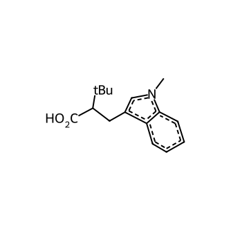 Cn1cc(CC(C(=O)O)C(C)(C)C)c2ccccc21